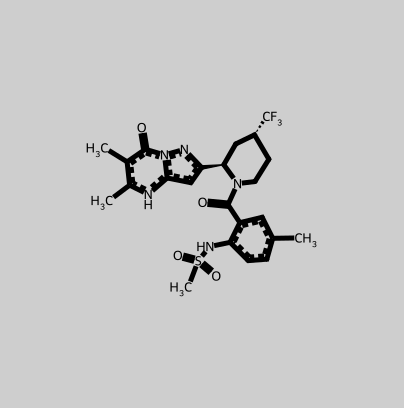 Cc1ccc(NS(C)(=O)=O)c(C(=O)N2CC[C@@H](C(F)(F)F)C[C@@H]2c2cc3[nH]c(C)c(C)c(=O)n3n2)c1